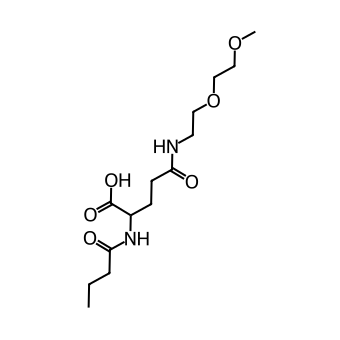 CCCC(=O)NC(CCC(=O)NCCOCCOC)C(=O)O